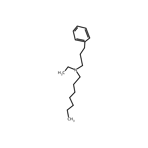 CCCCCCCN(CC)CCCc1ccccc1